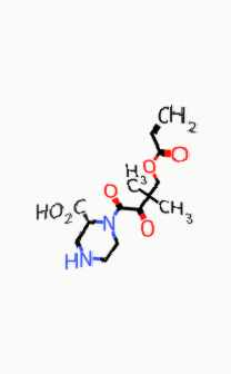 C=CC(=O)OCC(C)(C)C(=O)C(=O)N1CCNC[C@H]1C(=O)O